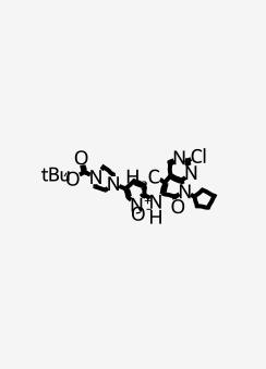 Cc1c(Nc2ccc(N3CCN(C(=O)OC(C)(C)C)CC3)c[n+]2[O-])c(=O)n(C2CCCC2)c2nc(Cl)ncc12